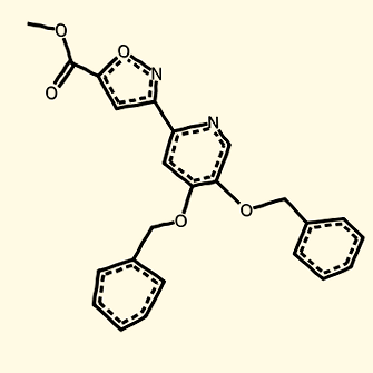 COC(=O)c1cc(-c2cc(OCc3ccccc3)c(OCc3ccccc3)cn2)no1